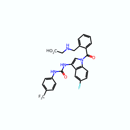 O=C(O)CNCc1ccccc1C(=O)n1cc(NC(=O)Nc2ccc(C(F)(F)F)cc2)c2cc(F)ccc21